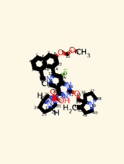 C#Cc1cccc2cc(OCOC)cc(-c3ncc4c(N5C[C@H]6CC[C@@H](C5)N6C(=O)O)nc(OCC56CCCN5CCC6=C)nc4c3F)c12